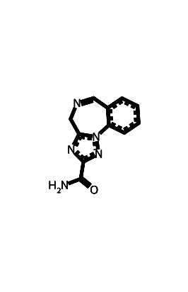 NC(=O)c1nc2n(n1)-c1ccccc1C=NC2